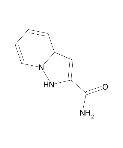 NC(=O)C1=CC2C=CC=CN2N1